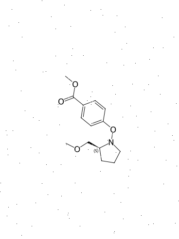 COC[C@@H]1CCCN1Oc1ccc(C(=O)OC)cc1